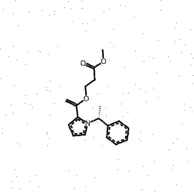 C=C(OCCC(=O)OC)c1cccn1[C@H](C)c1ccccc1